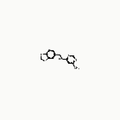 Nc1cc(NCc2ccc3c(c2)OCO3)ncn1